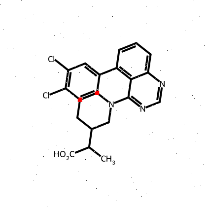 CC(C(=O)O)C1CCCN(c2ncnc3cccc(-c4ccc(Cl)c(Cl)c4)c23)C1